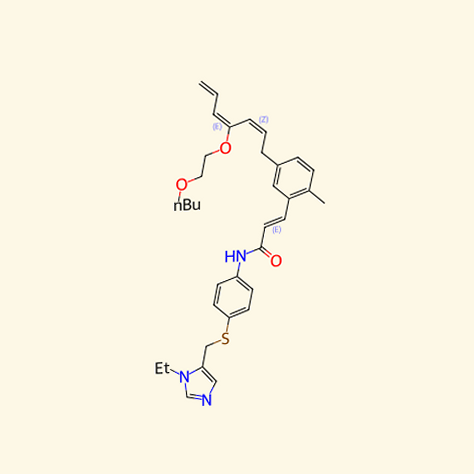 C=C/C=C(\C=C/Cc1ccc(C)c(/C=C/C(=O)Nc2ccc(SCc3cncn3CC)cc2)c1)OCCOCCCC